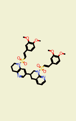 COc1ccc(/C=C/S(=O)(=O)N2CCCc3ncc(C4Cc5cccnc5N(S(=O)(=O)/C=C/c5ccc(OC)c(OC)c5)C4)cc32)cc1OC